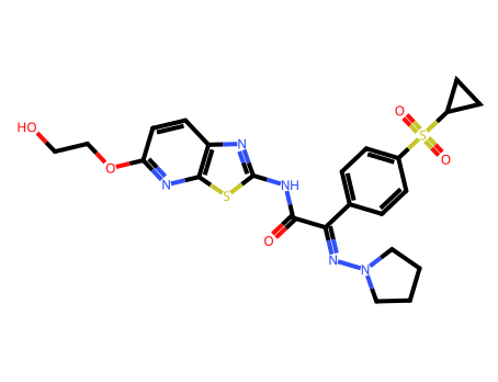 O=C(Nc1nc2ccc(OCCO)nc2s1)/C(=N/N1CCCC1)c1ccc(S(=O)(=O)C2CC2)cc1